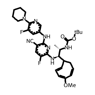 COC1=C/C=C/C([C@@H](Nc2nc(Nc3cnc(N4CCCCC4)c(F)c3)c(C#N)cc2F)[C@H](C)NC(=O)OC(C)(C)C)C/C=C\1